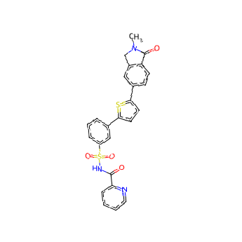 CN1Cc2cc(-c3ccc(-c4cccc(S(=O)(=O)NC(=O)c5ccccn5)c4)s3)ccc2C1=O